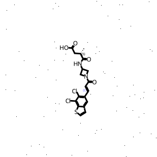 C[C@@H](CC(=O)O)C(=O)NC1CN(C(=O)/C=C/c2cc3ccsc3c(Cl)c2Cl)C1